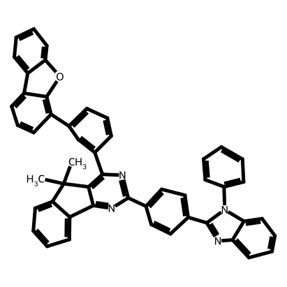 CC1(C)c2ccccc2-c2nc(-c3ccc(-c4nc5ccccc5n4-c4ccccc4)cc3)nc(-c3cccc(-c4cccc5c4oc4ccccc45)c3)c21